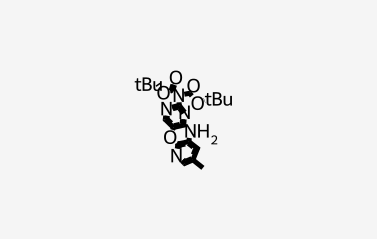 Cc1cnc(Oc2cnc(N(C(=O)OC(C)(C)C)C(=O)OC(C)(C)C)nc2)c(N)c1